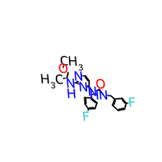 COC[C@H](C)Nc1nccc(N(C(=O)NCc2cccc(F)c2)c2ccc(F)cc2)n1